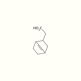 O=C(O)CC1CC2C=CC1CC2